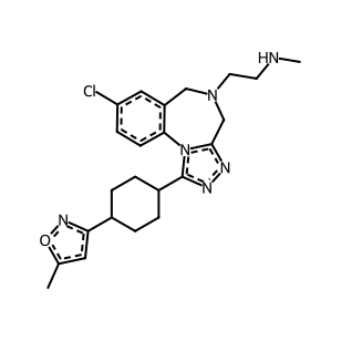 CNCCN1Cc2cc(Cl)ccc2-n2c(nnc2C2CCC(c3cc(C)on3)CC2)C1